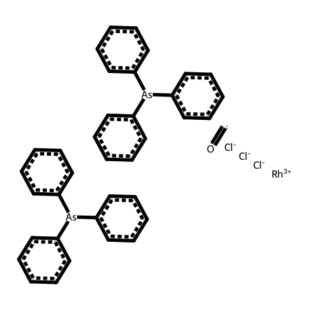 [C]=O.[Cl-].[Cl-].[Cl-].[Rh+3].c1ccc([As](c2ccccc2)c2ccccc2)cc1.c1ccc([As](c2ccccc2)c2ccccc2)cc1